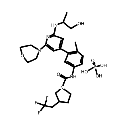 Cc1ccc(NC(=O)N2CCC(CC(F)(F)F)C2)cc1-c1cc(NC(C)CO)nc(N2CCOCC2)c1.O=P(O)(O)O